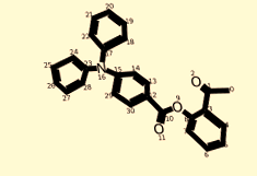 CC(=O)c1ccccc1OC(=O)c1ccc(N(c2ccccc2)c2ccccc2)cc1